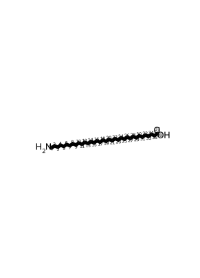 NCCCCCCCCCCCCCCCCCCCCCCCCCCCCCCCCCCCC(=O)O